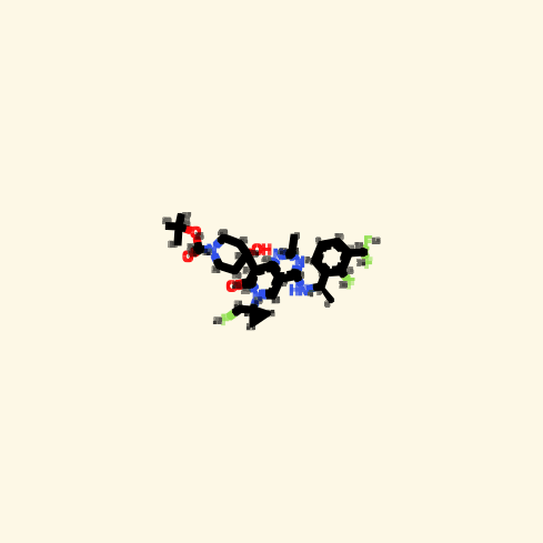 Cc1nc(N[C@H](C)c2cccc(C(F)F)c2F)c2cn(C3(CF)CC3)c(=O)c(C3(O)CCN(C(=O)OC(C)(C)C)CC3)c2n1